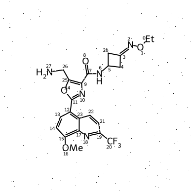 CCON=C1CC(NC(=O)c2nc(-c3ccc(OC)c4nc(C(F)(F)F)ccc34)oc2CN)C1